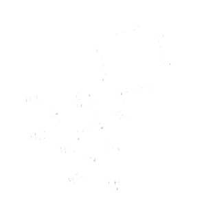 C[Si](C)(C)O[Si](Cl)(OC1CCCCCCC1)O[Si](C)(C)C